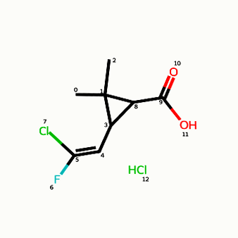 CC1(C)C(C=C(F)Cl)C1C(=O)O.Cl